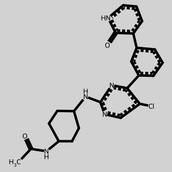 CC(=O)NC1CCC(Nc2ncc(Cl)c(-c3cccc(-c4ccc[nH]c4=O)c3)n2)CC1